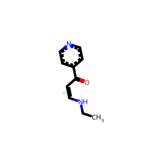 CCN/C=C\C(=O)c1ccncc1